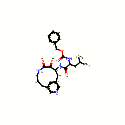 CC(C)CC(NC(=O)OCc1ccccc1)C(=O)NC1Cc2cncc(c2)CCCNC(=O)C1=O